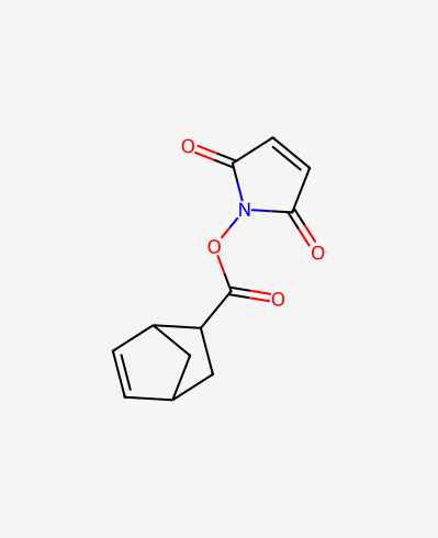 O=C(ON1C(=O)C=CC1=O)C1CC2C=CC1C2